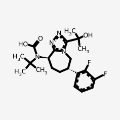 CC(C)(O)c1nnc2n1C[C@H](c1cccc(F)c1F)CC[C@H]2N(C(=O)O)C(C)(C)C